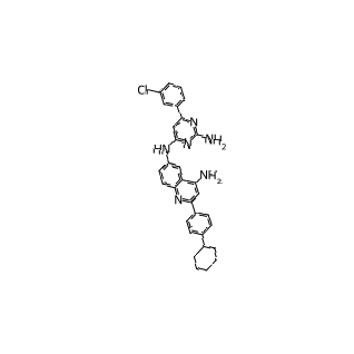 Nc1nc(Nc2ccc3nc(-c4ccc(C5CCCCC5)cc4)cc(N)c3c2)cc(-c2cccc(Cl)c2)n1